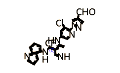 C=C(Nc1cnc(-n2cc(C=O)cn2)c(Cl)c1)/C(C=N)=C(/Nc1cccc2ncccc12)C(F)(F)F